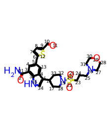 NC(=O)c1cc(-c2ccc(C=O)s2)cc2c(C3CCN(S(=O)(=O)CCCN4CCOCC4)CC3)c[nH]c12